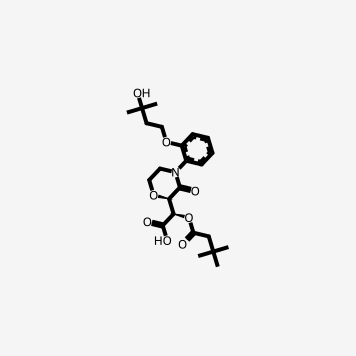 CC(C)(C)CC(=O)O[C@@H](C(=O)O)[C@H]1OCCN(c2ccccc2OCCC(C)(C)O)C1=O